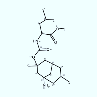 COC(=O)C(CC(C)C)NC(=O)OC1(C)CC2CC(C)CC(N)(C2)C1